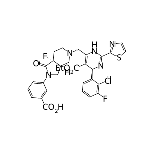 CCOC(=O)C1=C(CN2CC[C@]3(F)C(=O)N(c4cccc(C(=O)O)c4)C[C@@H]3C2)NC(c2nccs2)=N[C@H]1c1cccc(F)c1Cl